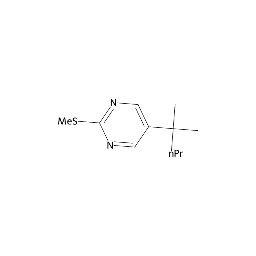 CCCC(C)(C)c1cnc(SC)nc1